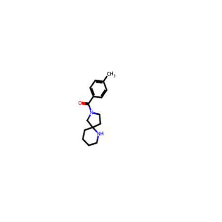 Cc1ccc(C(=O)N2CCC3(CCCCN3)C2)cc1